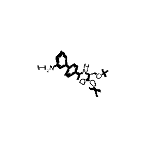 CC(N[C@@H](COC(C)(C)C)C(=O)OC(C)(C)C)c1ccc(-c2cccc(N)c2)cc1